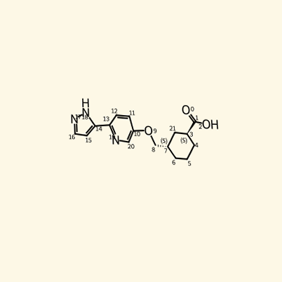 O=C(O)[C@H]1CCC[C@H](COc2ccc(-c3ccn[nH]3)nc2)C1